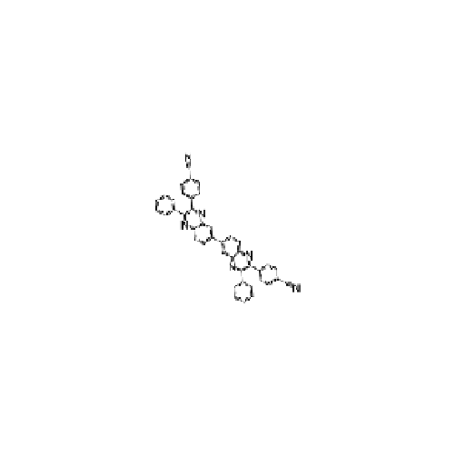 N#Cc1ccc(-c2nc3ccc(-c4ccc5nc(-c6ccccc6)c(-c6ccc(C#N)cc6)nc5c4)cc3nc2-c2ccccc2)cc1